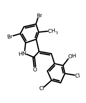 Cc1c(Br)cc(Br)c2c1C(=Cc1cc(Cl)cc(Cl)c1O)C(=O)N2